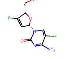 Nc1nc(=O)n([C@@H]2C=C(F)[C@H](CO)O2)cc1F